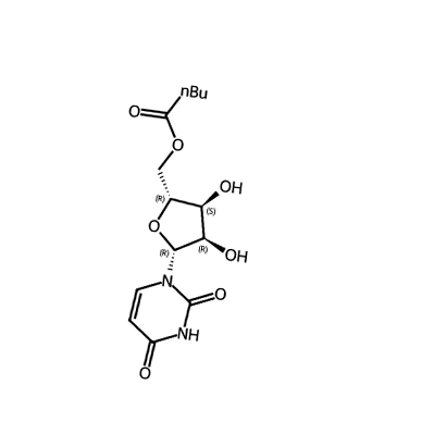 CCCCC(=O)OC[C@H]1O[C@@H](n2ccc(=O)[nH]c2=O)[C@H](O)[C@@H]1O